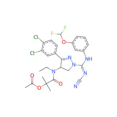 CCN(C(=O)C(C)(C)OC(C)=O)C1CN(/C(=N\C#N)Nc2cccc(OC(F)F)c2)N=C1c1ccc(Cl)c(Cl)c1